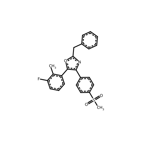 Cc1c(F)cccc1-c1oc(Cc2ccccc2)nc1-c1ccc(S(C)(=O)=O)cc1